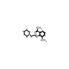 CC(=O)c1cccc(C)c1OCCP1CCCCC1